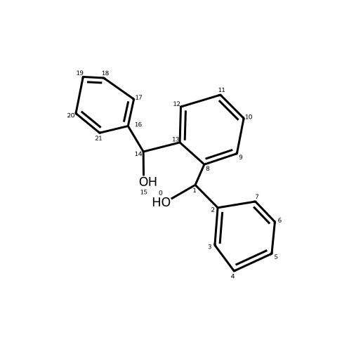 OC(c1ccccc1)c1ccccc1C(O)c1ccccc1